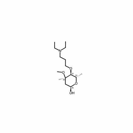 CCN(CC)CCCO[C@H]1[C@H](C)O[C@@H](O)C[C@@]1(C)OC